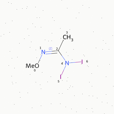 CO/N=C(/C)N(I)I